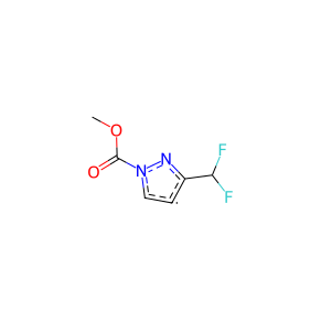 COC(=O)n1c[c]c(C(F)F)n1